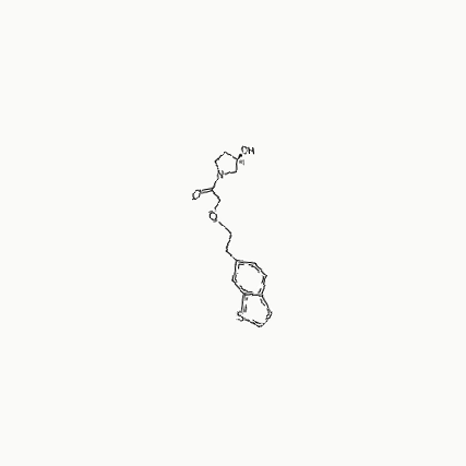 O=C(COCCc1ccc2ccsc2c1)N1CC[C@@H](O)C1